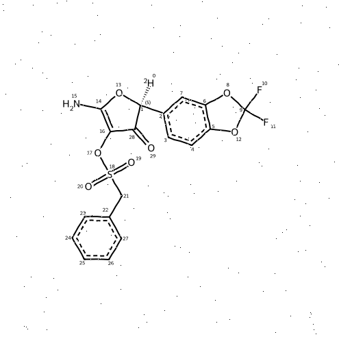 [2H][C@@]1(c2ccc3c(c2)OC(F)(F)O3)OC(N)=C(OS(=O)(=O)Cc2ccccc2)C1=O